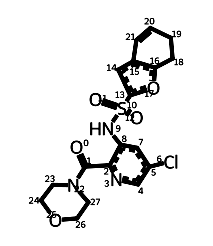 O=C(c1ncc(Cl)cc1NS(=O)(=O)c1cc2c(o1)CCC=C2)N1CCOCC1